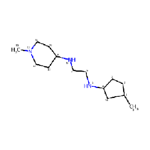 CC1CCC(NCCNC2CCN(C)CC2)C1